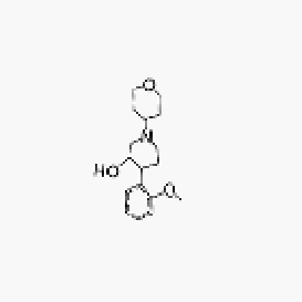 COc1ccccc1C1CCN(C2CCOCC2)CC1O